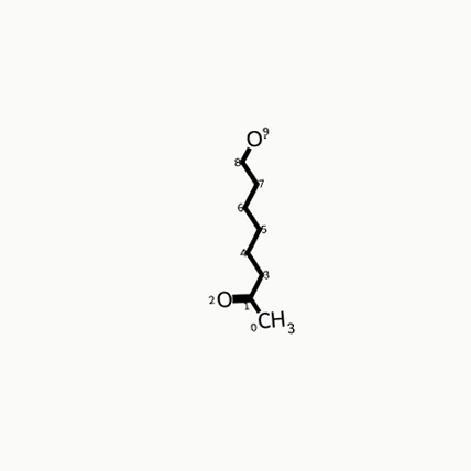 CC(=O)CCCCCC[O]